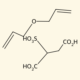 C=CCOCC=C.O=C(O)CC(C(=O)O)S(=O)(=O)O